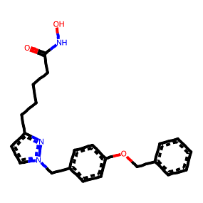 O=C(CCCCc1ccn(Cc2ccc(OCc3ccccc3)cc2)n1)NO